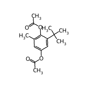 CC(=O)Oc1cc(C)c(OC(C)=O)c(C(C)(C)C)c1